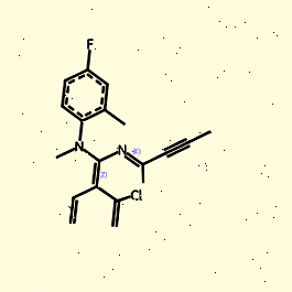 C=C/C(C(=C)Cl)=C(/N=C(\C)C#CC)N(C)c1ccc(F)cc1C